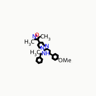 COc1ccc(CCc2nc3cc(-c4c(C)noc4C)ccn3c2N[C@H](C)c2ccccc2)cc1